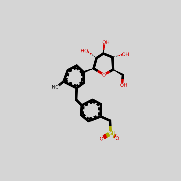 N#Cc1ccc([C@@H]2O[C@H](CO)[C@@H](O)[C@H](O)[C@H]2O)cc1Cc1ccc(C[SH](=O)=O)cc1